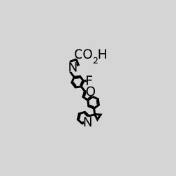 O=C(O)C1CN(Cc2ccc(-c3cc4cc(C5(c6ccccn6)CC5)ccc4o3)c(F)c2)C1